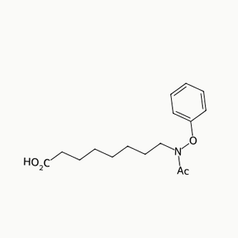 CC(=O)N(CCCCCCCC(=O)O)Oc1ccccc1